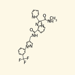 CNC(=O)c1c(-c2ccccn2)nc2c(C(=O)NCc3cnn(-c4cccc(C(F)(F)F)c4)c3)cccn12